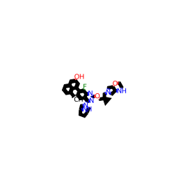 C#Cc1cccc2cc(O)cc(-c3ccc4c(N5CC6CCC(C5)N6)nc(OCC5(CN6CC7NCCOC7C6)CC5)nc4c3F)c12